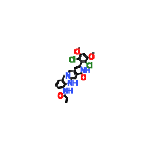 C=CC(=O)Nc1cccc(C)c1Nc1cc2c(=O)[nH]c(-c3c(Cl)c(OC)cc(OC)c3Cl)cc2cn1